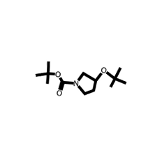 CC(C)(C)OC(=O)N1CCC(OC(C)(C)C)C1